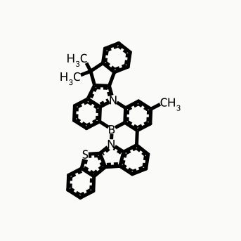 Cc1cc2c3c(c1)-n1c4c(c5cccc(c51)B3n1c3sc5ccccc5c3c3cccc-2c31)C(C)(C)c1ccccc1-4